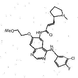 COCCOc1cc2ncnc(Nc3ccc(F)c(Cl)c3)c2cc1NC(=O)C=C[C@H]1CCCN1C